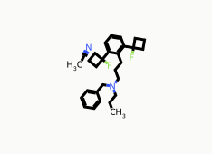 CC#N.CCCN(CCCc1c(C2(F)CCC2)cccc1C1(F)CCC1)Cc1ccccc1